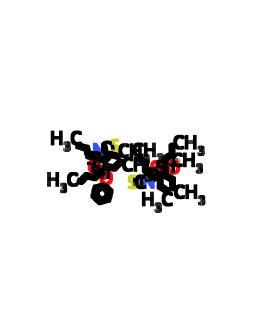 CCC[CH2][Sn]([CH2]CCC)([N]=C=S)[O][Sn]([CH2]CCC)([CH2]CCC)[O]C.CCC[CH2][Sn]([CH2]CCC)([N]=C=S)[O][Sn]([CH2]CCC)([CH2]CCC)[O]c1ccccc1